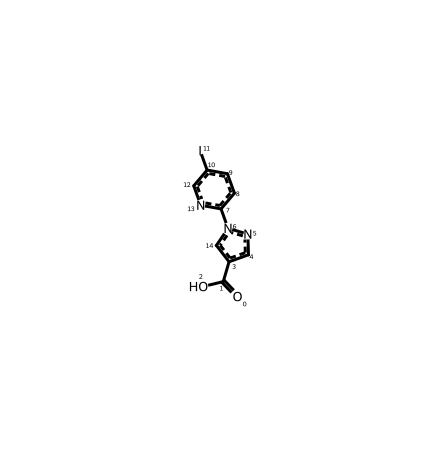 O=C(O)c1cnn(-c2ccc(I)cn2)c1